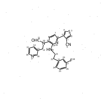 N#Cc1cscc1-c1ccc(N(C=O)Cc2cccnc2)c(NCCc2cccc(F)c2)n1